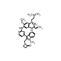 C=CC(=O)Nc1cc(Nc2nccc(-c3c(CN4CCC4=O)n(C)c4ccccc34)n2)c(OC)cc1N(C)CCN(C)C